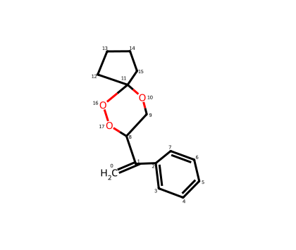 C=C(c1ccccc1)C1COC2(CCCC2)OO1